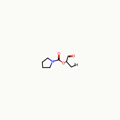 [2H]CC(C=O)OC(=O)N1CCCC1